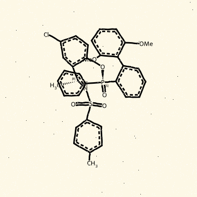 COc1cccc(OC)c1-c1ccccc1[P@@](=O)(Oc1ccc(Cl)cc1[C@@H](C)NS(=O)(=O)c1ccc(C)cc1)c1ccccc1